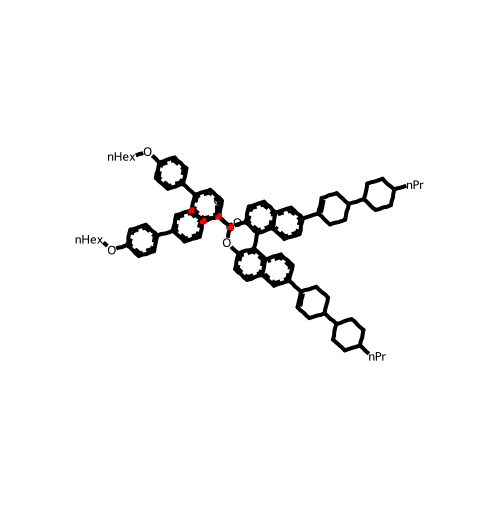 CCCCCCOc1ccc(-c2ccc(C(=O)Oc3ccc4cc(C5=CCC(C6CCC(CCC)CC6)CC5)ccc4c3-c3c(OC(=O)c4ccc(-c5ccc(OCCCCCC)cc5)cc4)ccc4cc(C5=CCC(C6CCC(CCC)CC6)CC5)ccc34)cc2)cc1